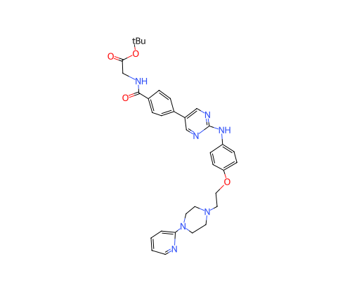 CC(C)(C)OC(=O)CNC(=O)c1ccc(-c2cnc(Nc3ccc(OCCN4CCN(c5ccccn5)CC4)cc3)nc2)cc1